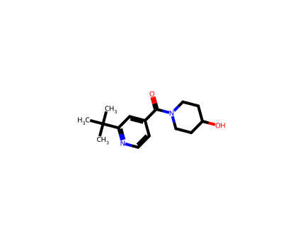 CC(C)(C)c1cc(C(=O)N2CCC(O)CC2)ccn1